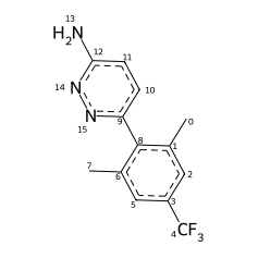 Cc1cc(C(F)(F)F)cc(C)c1-c1ccc(N)nn1